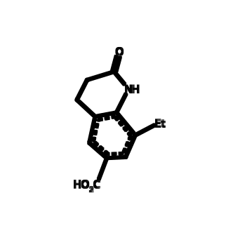 CCc1cc(C(=O)O)cc2c1NC(=O)CC2